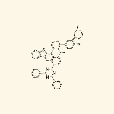 CC1C=Cc2sc3ccc(-c4cccc(-c5cccc6c5sc5ccccc56)c4[C@@H](C)c4ccc(-c5nc(-c6ccccc6)nc(-c6ccccc6)n5)cc4)cc3c2C1